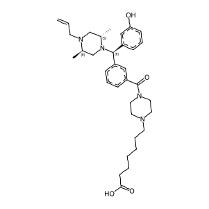 C=CCN1C[C@H](C)N([C@@H](c2cccc(O)c2)c2cccc(C(=O)N3CCN(CCCCCCC(=O)O)CC3)c2)C[C@H]1C